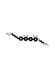 CCCCCCCC1CC=C(c2ccc(-c3ccc(-c4ccc(OCCCCC)c(F)c4F)cc3)c(F)c2F)CC1